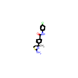 CC1(c2ccc(C(=O)Nc3ccc(Cl)cc3)cc2)CCSC(N)=N1